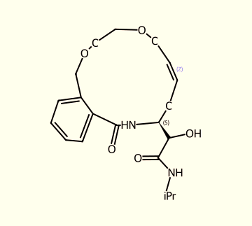 CC(C)NC(=O)C(O)[C@@H]1C/C=C\COCCOCc2ccccc2C(=O)N1